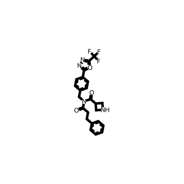 O=C(CCc1ccccc1)N(Cc1ccc(-c2nnc(C(F)(F)F)o2)cc1)C(=O)C1CNC1